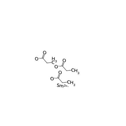 CCC(=O)[O-].CCC(=O)[O-].CCC(=O)[O-].[Sm+3]